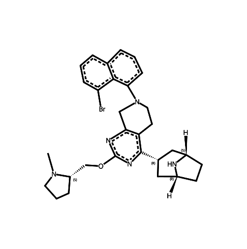 CN1CCC[C@H]1COc1nc2c(c([C@H]3C[C@H]4CC[C@@H](C3)N4)n1)CCN(c1cccc3cccc(Br)c13)C2